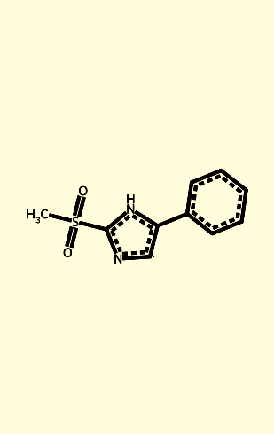 CS(=O)(=O)c1n[c]c(-c2ccccc2)[nH]1